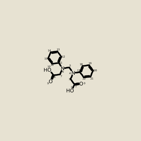 O=C(O)CN(CN(CC(=O)O)c1ccccc1)c1ccccc1